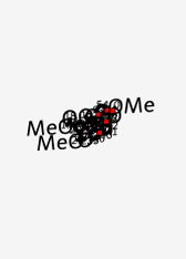 COC(=O)c1cccc(CP(OS(=O)(=O)c2cc(C(=O)OC)cc(C(=O)OC)c2)(c2ccccc2)(c2ccccc2)c2ccccc2)c1